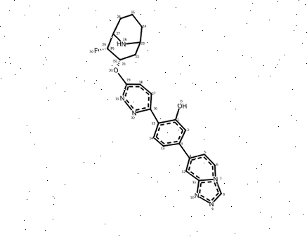 Oc1cc(-c2ccn3cnnc3c2)ccc1-c1ccc(O[C@H]2CC3CCCC(N3)[C@H]2F)nn1